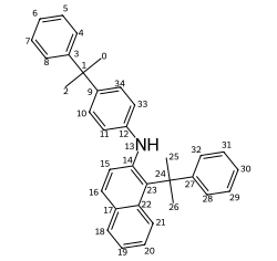 CC(C)(c1ccccc1)c1ccc(Nc2ccc3ccccc3c2C(C)(C)c2ccccc2)cc1